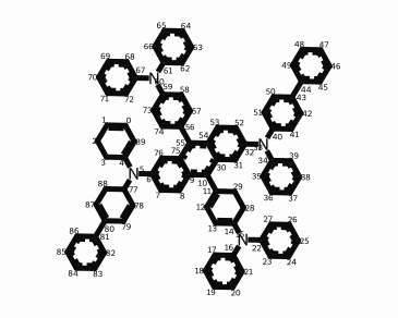 C1=CCCC(N(c2ccc3c(C4=CC=C(N(c5ccccc5)c5ccccc5)CC4)c4cc(N(c5ccccc5)c5ccc(-c6ccccc6)cc5)ccc4c(-c4ccc(N(c5ccccc5)c5ccccc5)cc4)c3c2)C2C=CC(c3ccccc3)=CC2)=C1